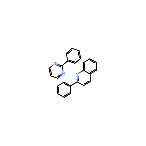 c1ccc(-c2ccc3ccccc3n2)cc1.c1ccc(-c2ncccn2)cc1